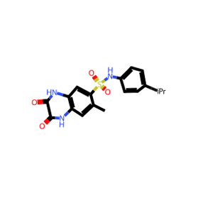 Cc1cc2[nH]c(=O)c(=O)[nH]c2cc1S(=O)(=O)Nc1ccc(C(C)C)cc1